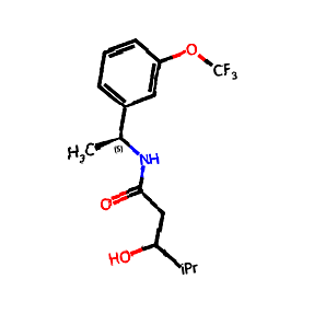 CC(C)C(O)CC(=O)N[C@@H](C)c1cccc(OC(F)(F)F)c1